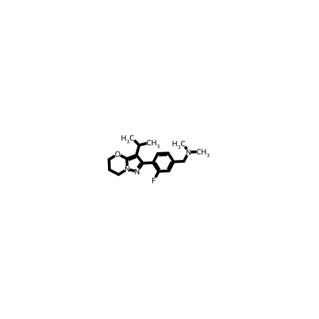 CC(C)c1c(-c2ccc(CN(C)C)cc2F)nn2c1OCCC2